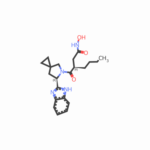 CCCC[C@H](CC(=O)NO)C(=O)N1CC2(CC2)C[C@@H]1c1nc2ccccc2[nH]1